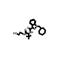 CC(C)(C)[C@H](NC(=O)c1nn(CC2CCCCCC2)c2ccccc12)C(=O)NCCO